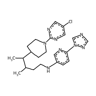 CC(CCNc1ccc(-n2cncn2)nc1)C(C)C1CCN(c2ncc(Cl)cn2)CC1